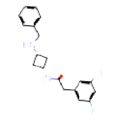 O=C(Cc1cc(F)cc(Cl)c1)N[C@H]1C[C@H](NCc2ccccc2)C1